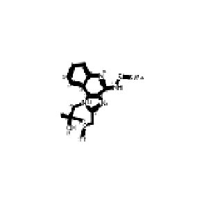 CCOCc1nc2c(NSSC)nc3ccccc3c2n1CC(C)(C)O